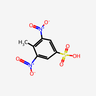 Cc1c([N+](=O)[O-])cc(S(=O)(=O)O)cc1[N+](=O)[O-]